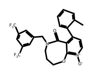 Cc1ccccc1-c1cc[n+]([O-])c2c1C(=O)N(Cc1cc(C(F)(F)F)cc(C(F)(F)F)c1)CCCO2